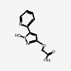 O=C(O)COc1cc(-c2ccccn2)n(O)n1